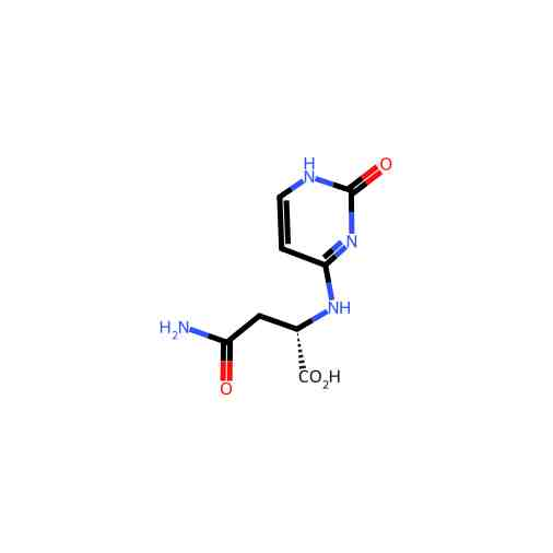 NC(=O)C[C@H](Nc1cc[nH]c(=O)n1)C(=O)O